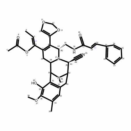 C/C=C(\OC(C)=O)C1=C(C2=COCO2)[C@H](CNC(=O)/C=C/c2ccccc2)N2C(C1)C1c3c(cc(C)c(OC)c3O)CC([C@@H]2C#N)N1C